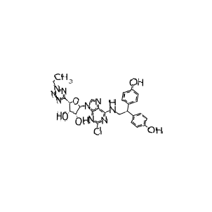 CCn1nnc([C@H]2O[C@@H](n3cnc4c(NCC(c5ccc(O)cc5)c5ccc(O)cc5)nc(Cl)nc43)[C@H](O)[C@@H]2O)n1